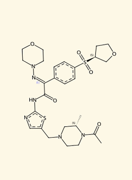 CC(=O)N1CCN(Cc2cnc(NC(=O)/C(=N/N3CCOCC3)c3ccc(S(=O)(=O)[C@H]4CCOC4)cc3)s2)C[C@@H]1C